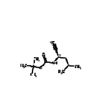 C#C[C@@H](CC(C)C)NC(=O)OC(C)(C)C